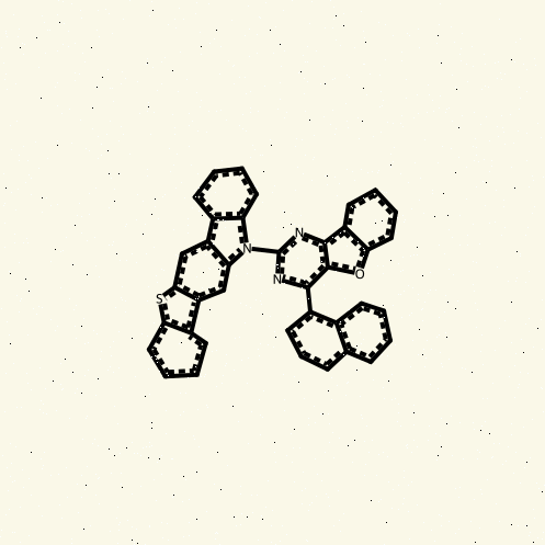 c1ccc2c(-c3nc(-n4c5ccccc5c5cc6sc7ccccc7c6cc54)nc4c3oc3ccccc34)cccc2c1